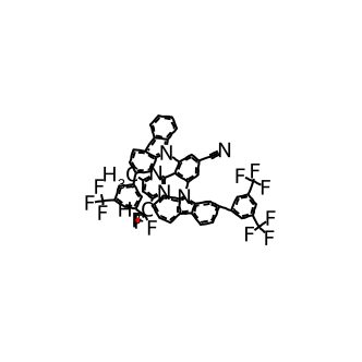 Cc1cc(C)nc(-c2c(-n3c4ccccc4c4ccc(-c5cc(C(F)(F)F)cc(C(F)(F)F)c5)cc43)cc(C#N)cc2-n2c3ccccc3c3ccc(-c4cc(C(F)(F)F)cc(C(F)(F)F)c4)cc32)n1